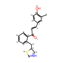 Cc1cc(/C=C/C(=O)c2ccccc2CC2CNCS2)ccc1O